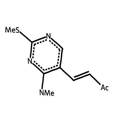 CNc1nc(SC)ncc1C=CC(C)=O